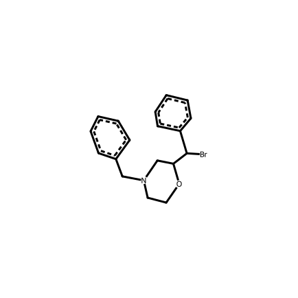 BrC(c1ccccc1)C1CN(Cc2ccccc2)CCO1